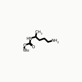 CC(CCCN)NC(=O)OC(C)(C)C